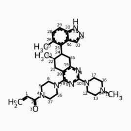 C=CC(=O)N1CCN(c2nc(N3CCN(C)CC3)nc3c2C[C@@H](C)C(c2c(C)ccc4[nH]ncc24)C3)CC1